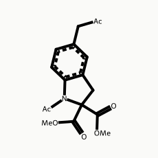 COC(=O)C1(C(=O)OC)Cc2cc(CC(C)=O)ccc2N1C(C)=O